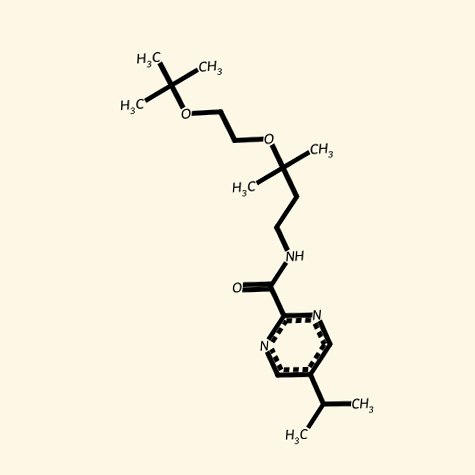 CC(C)c1cnc(C(=O)NCCC(C)(C)OCCOC(C)(C)C)nc1